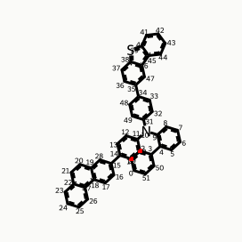 c1ccc(-c2ccccc2N(c2ccc(-c3ccc4c(ccc5ccccc54)c3)cc2)c2ccc(-c3ccc4sc5ccccc5c4c3)cc2)cc1